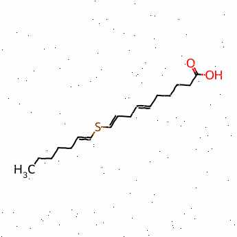 CCCCCC=CSC=CCC=CCCCCC(=O)O